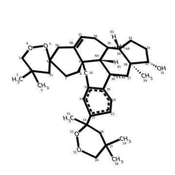 CC1(C)COOC2(CC[C@@]34Cc5cc(C6(C)CC(C)(C)COO6)ccc5[C@H]5C[C@]6(C)[C@@H](O)CC[C@H]6[C@H](CC=C3C2)[C@H]54)C1